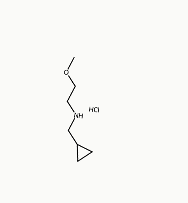 COCCNCC1CC1.Cl